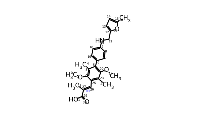 COc1c(C)c(-c2ccc(NCc3ccc(C)o3)cc2)c(OC)c(C)c1/C=C(\C)C(=O)O